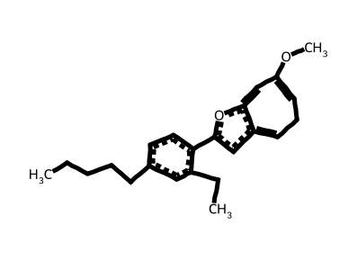 CCCCCc1ccc(-c2cc3c(o2)=CC(OC)=CCC=3)c(CC)c1